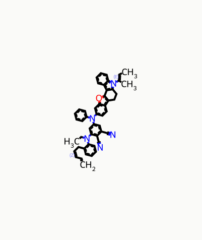 C=C/C=C\Cc1ccccc1N(CC)c1cc(N(c2ccccc2)c2ccc3c4c(oc3c2)-c2c(n(/C(C)=C/C)c3ccccc23)CC4)cc(C#N)c1C#N